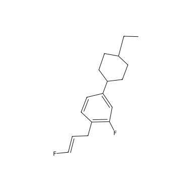 CCC1CCC(c2ccc(C/C=C/F)c(F)c2)CC1